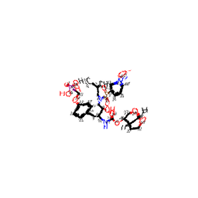 CC(C)CN(CC(O)[C@H](Cc1ccc(OCP(=O)(O)O)cc1)NC(=O)O[C@H]1CO[C@H]2OCC[C@H]21)S(=O)(=O)c1ccc[n+]([O-])c1